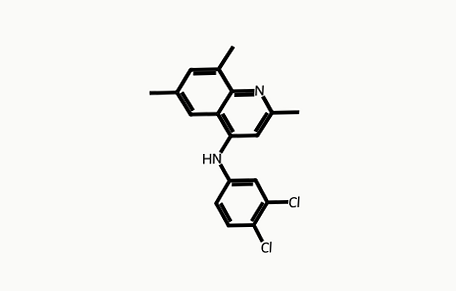 Cc1cc(C)c2nc(C)cc(Nc3ccc(Cl)c(Cl)c3)c2c1